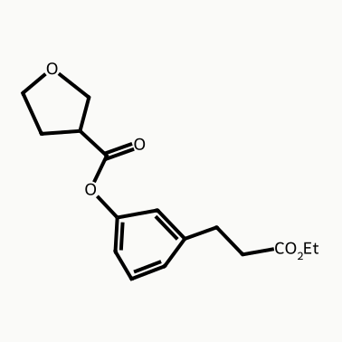 CCOC(=O)CCc1cccc(OC(=O)C2CCOC2)c1